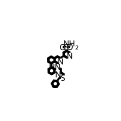 NS(=O)(=O)c1cncc(-c2cc3cccc(-c4ccccc4)c3c(NCc3csc(-c4ccccc4)n3)n2)c1